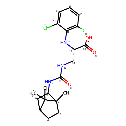 CC1(C)C2CCC1(C)C(NC(=O)NC[C@H](Nc1c(Cl)cccc1Cl)C(=O)O)C2